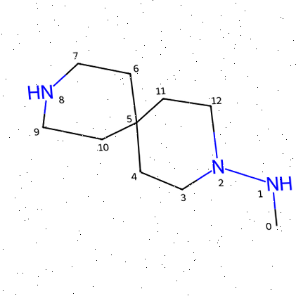 CNN1CCC2(CCNCC2)CC1